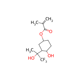 C=C(C)C(=O)OC1CCC(O)C(C(C)(O)C(F)(F)F)C1